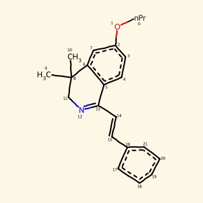 CCCOc1ccc2c(c1)C(C)(C)CN=C2/C=C/c1ccccc1